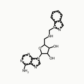 Nc1ncnc2c1ncn2C1OC(CNCn2ncc3ccccc32)C(O)C1O